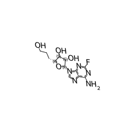 Nc1nc(F)nc2c1ncn2[C@@H]1O[C@H](CCCO)[C@@H](O)[C@@H]1O